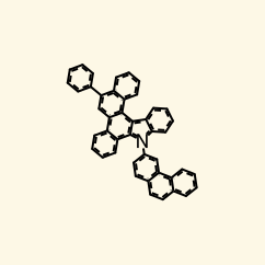 c1ccc(-c2cc3c4ccccc4c4c(c5ccccc5n4-c4ccc5ccc6ccccc6c5c4)c3c3ccccc23)cc1